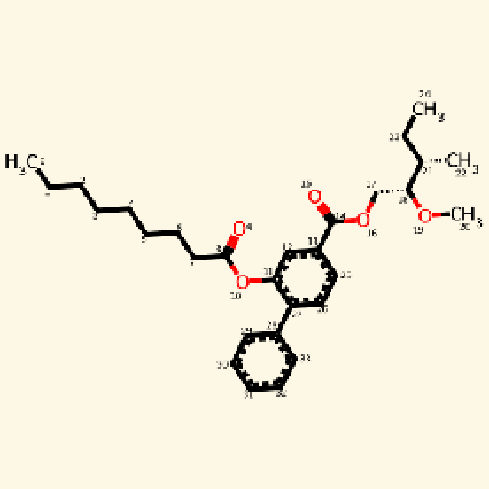 CCCCCCCCC(=O)Oc1cc(C(=O)OC[C@@H](OC)[C@@H](C)CC)ccc1-c1ccccc1